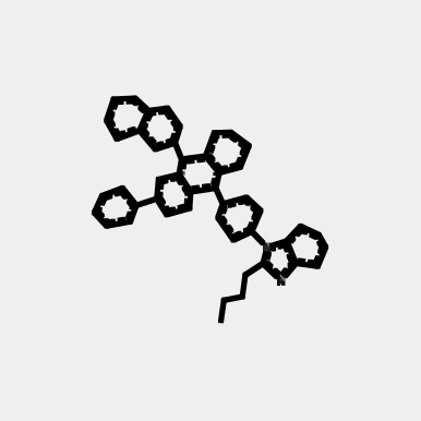 CCCCc1nc2ccccc2n1-c1ccc(-c2c3ccccc3c(-c3ccc4ccccc4c3)c3cc(-c4ccccc4)ccc23)cc1